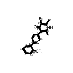 Cc1[nH]c(C)c(-c2ccc(-c3ccccc3C(F)(F)F)nc2)c(=O)c1Br